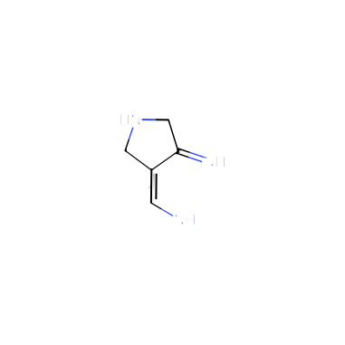 N=C1CNC/C1=C/N